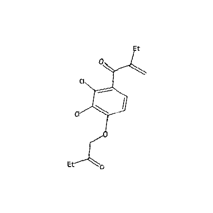 C=C(CC)C(=O)c1ccc(OCC(=O)CC)c(Cl)c1Cl